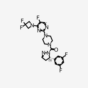 O=C(N1CCN(c2n[c]c(F)c(N3CC(F)(F)C3)n2)CC1)N1N=CC[C@H]1c1cc(F)cc(F)c1